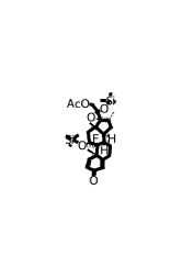 CC(=O)OCC1(O[Si](C)(C)C)O[C@@]12[C@H](C)C[C@H]1[C@@H]3CCC4=CC(=O)C=C[C@]4(C)[C@@]3(F)[C@@H](O[Si](C)(C)C)C[C@@]12C